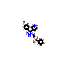 O=C(OCCn1nnc(-c2ccc(F)cc2)c1-c1ccncc1)c1ccccc1